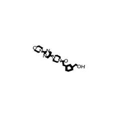 O=C(Cc1cccc(CO)c1)N1CCN(c2cnc(N3CCOCC3)nc2)CC1